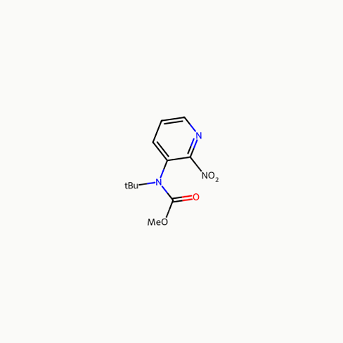 COC(=O)N(c1cccnc1[N+](=O)[O-])C(C)(C)C